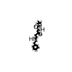 CC(C)(C)OC(=O)NCC(=O)CCNCCc1ccccc1